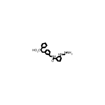 NN=CNc1cccc(C(=O)NCc2cccc(CC(C(=O)O)c3ccccc3)c2)c1